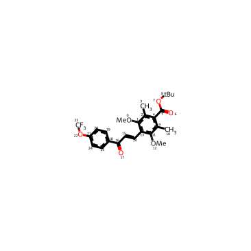 COc1c(C)c(C(=O)OC(C)(C)C)c(C)c(OC)c1C=CC(=O)c1ccc(OC(F)(F)F)cc1